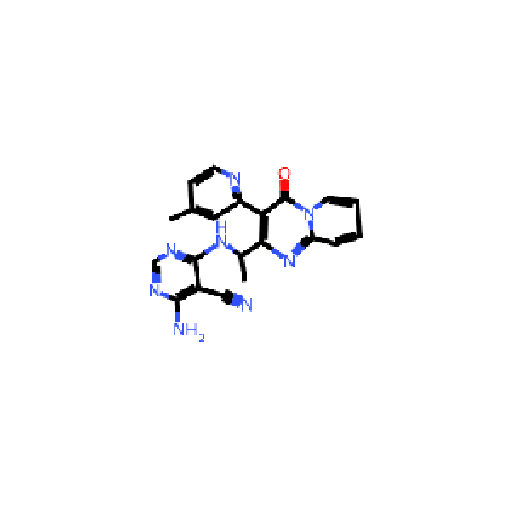 Cc1ccnc(-c2c(C(C)Nc3ncnc(N)c3C#N)nc3ccccn3c2=O)c1